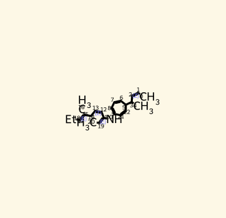 C/C=C\C(C)C1C=CC=C(NC(/C=C\C/C(C)=C/CC)=C/C)C=C1